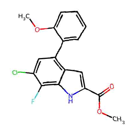 COC(=O)c1cc2c(-c3ccccc3OC)cc(Cl)c(F)c2[nH]1